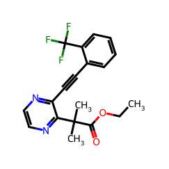 CCOC(=O)C(C)(C)c1nccnc1C#Cc1ccccc1C(F)(F)F